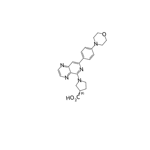 O=C(O)[C@@H]1CCN(c2nc(-c3ccc(N4CCOCC4)cc3)cc3nccnc23)C1